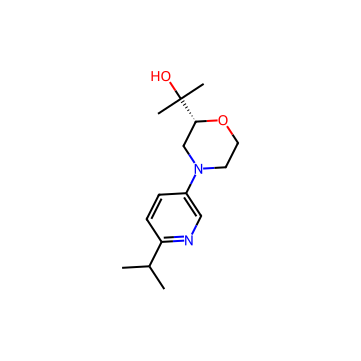 CC(C)c1ccc(N2CCO[C@@H](C(C)(C)O)C2)cn1